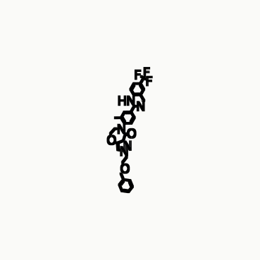 Cc1cc(C2N=Cc3cc(C(F)(F)F)ccc3N2)ccc1N1CCOc2cn(CCOCc3ccccc3)nc2C1=O